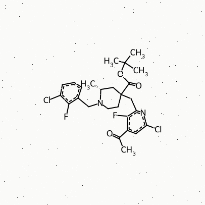 CC(=O)c1cc(Cl)nc(CC2(C(=O)OC(C)(C)C)CCN(Cc3cccc(Cl)c3F)[C@H](C)C2)c1F